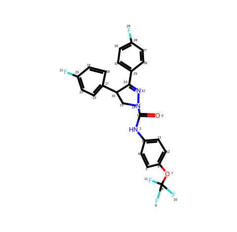 O=C(Nc1ccc(OC(F)(F)F)cc1)N1CC(c2ccc(F)cc2)C(c2ccc(F)cc2)=N1